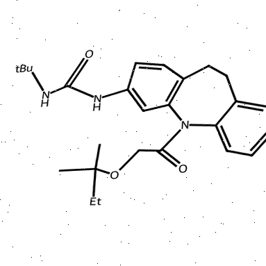 CCC(C)(C)OCC(=O)N1c2ccccc2CCc2ccc(NC(=O)NC(C)(C)C)cc21